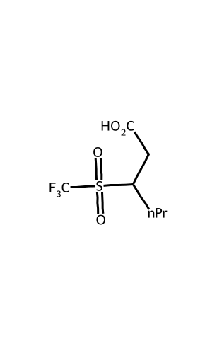 CCCC(CC(=O)O)S(=O)(=O)C(F)(F)F